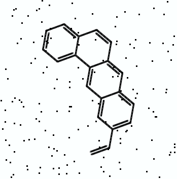 C=Cc1ccc2cc3ccc4ccccc4c3cc2c1